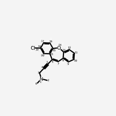 CN(C)CC#CC1=Cc2ccccc2Oc2ccc(Cl)cc21